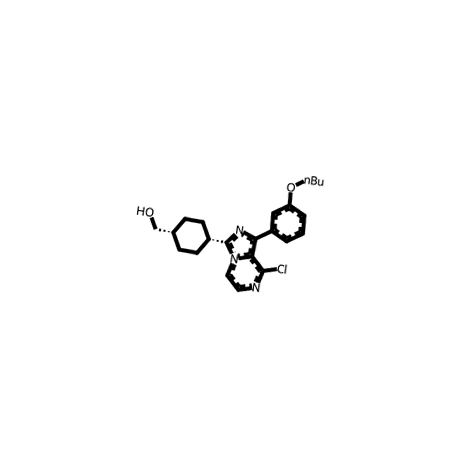 CCCCOc1cccc(-c2nc([C@H]3CC[C@@H](CO)CC3)n3ccnc(Cl)c23)c1